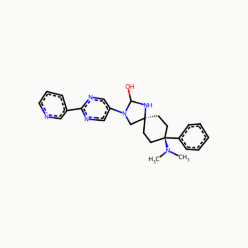 CN(C)[C@]1(c2ccccc2)CC[C@]2(CC1)CN(c1cnc(-c3cccnc3)nc1)C(O)N2